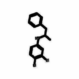 CC(Cc1ccccc1)Nc1ccc(Cl)c(Cl)c1